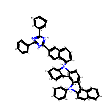 c1ccc(-c2nc(-c3ccccc3)nc(-c3ccc4c(-n5c6ccccc6c6c5ccc5c7c8ccccc8ccc7n(-c7ccccc7)c56)cccc4c3)n2)cc1